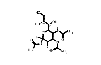 CC(=O)NC1C(NC(=N)N)C(F)C(F)(OC(C)=O)OC1[C@H](O)[C@H](O)CO